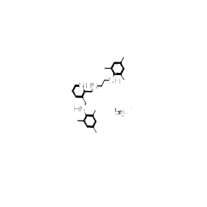 Cc1cc(C)c(NCCNCc2ncccc2CNc2c(C)cc(C)cc2C)c(C)c1.[Br-].[Br-].[Co+2]